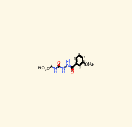 CCOC(=O)CNC(=O)NNC(=O)c1cccc(OC)c1